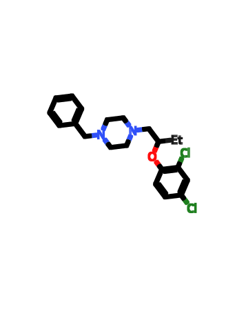 CCC(CN1CCN(Cc2ccccc2)CC1)Oc1ccc(Cl)cc1Cl